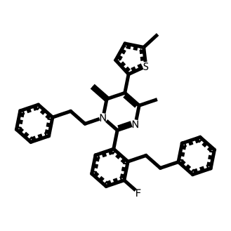 C=C1C(c2ccc(C)s2)=C(C)N=C(c2cccc(F)c2CCc2ccccc2)N1CCc1ccccc1